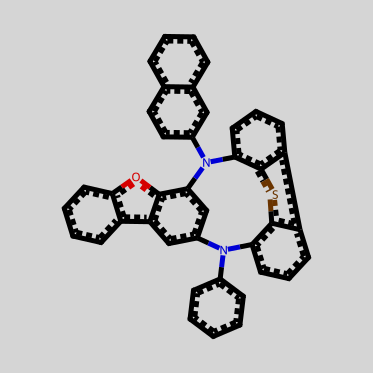 c1ccc(N2c3cc(c4oc5ccccc5c4c3)N(c3ccc4ccccc4c3)c3cccc4c3sc3c2cccc34)cc1